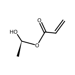 C=CC(=O)O[C@@H](C)O